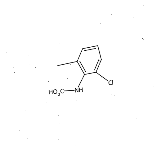 Cc1cccc(Cl)c1NC(=O)O